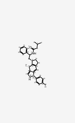 CC(C)CC(=O)NC(C[C@H]1CCC2=C1[C@@H](C)C1=CNN(c3ccc(F)cc3)C1=C2)c1ccccc1